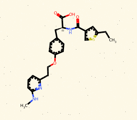 CCc1cc(C(=O)N[C@@H](Cc2ccc(OCCc3cccc(NC)n3)cc2)C(=O)O)cs1